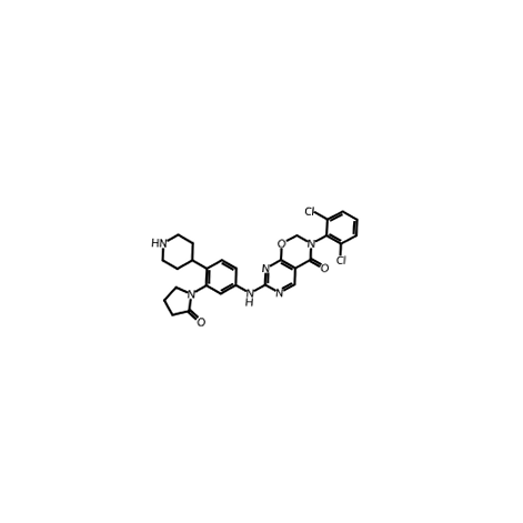 O=C1CCCN1c1cc(Nc2ncc3c(n2)OCN(c2c(Cl)cccc2Cl)C3=O)ccc1C1CCNCC1